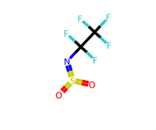 O=S(=O)=NC(F)(F)C(F)(F)F